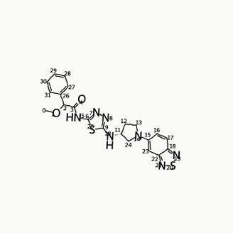 COC(C(=O)Nc1nnc(N[C@@H]2CCN(c3ccc4nsnc4c3)C2)s1)c1ccccc1